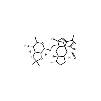 CC(C)C1=C[C@@H]2C[C@@]3(C=O)[C@H]4CC[C@H](C)[C@@H]4C[C@]2(CO[C@@H]2O[C@H](C)[C@@H](O)[C@@H]4OC(C)(C)O[C@H]24)[C@@]13C(=O)O